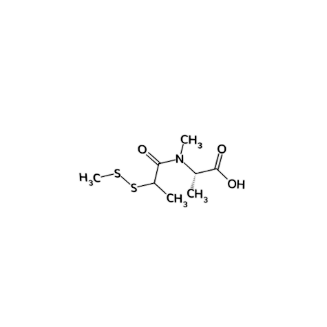 CSSC(C)C(=O)N(C)[C@@H](C)C(=O)O